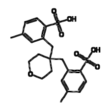 Cc1ccc(S(=O)(=O)O)c(CC2(Cc3cc(C)ccc3S(=O)(=O)O)CCOCC2)c1